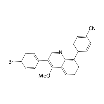 COc1c(C2=CCC(Br)C=C2)cnc2c1=CCCC=2C1C=CC(C#N)=CC1